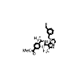 COC(=O)c1ccc(C(C)NC(=O)c2c(C(F)(F)F)nn3c2N(Cc2cccc(CF)c2)CC3)cc1